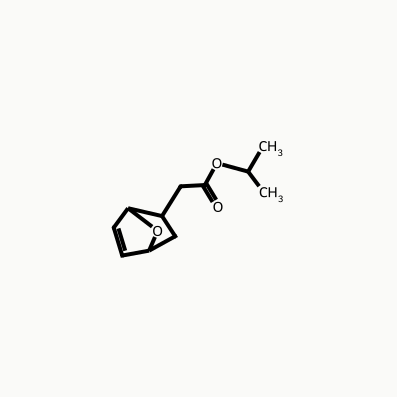 CC(C)OC(=O)CC1CC2C=CC1O2